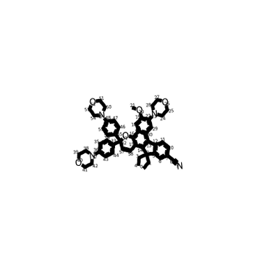 CCC1(CC)c2cc(C#N)ccc2-c2c1c1c(c3cc(OC)c(N4CCOCC4)cc23)OC(c2ccc(N3CCOCC3)cc2)(c2ccc(N3CCOCC3)cc2)C=C1